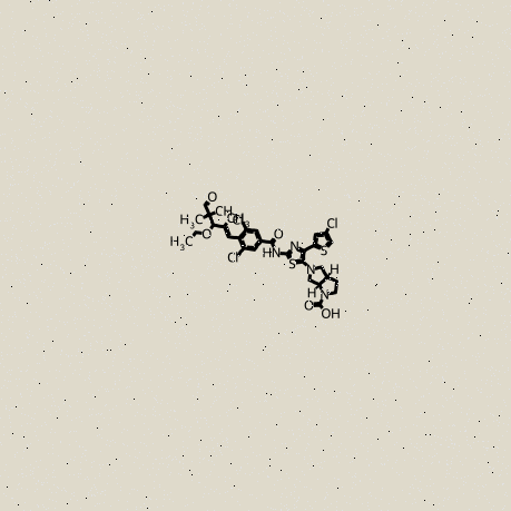 CCOC(/C(C)=C/c1c(Cl)cc(C(=O)Nc2nc(-c3cc(Cl)cs3)c(N3C[C@@H]4CCN(C(=O)O)[C@@H]4C3)s2)cc1Cl)C(C)(C)C=O